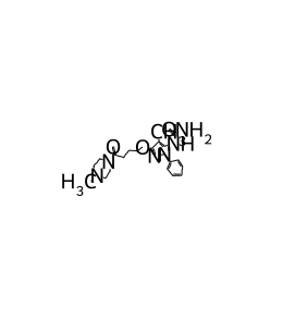 Cc1c(OCCCC(=O)N2CCN(C)CC2)nn(-c2ccccc2)c1NC(N)=O